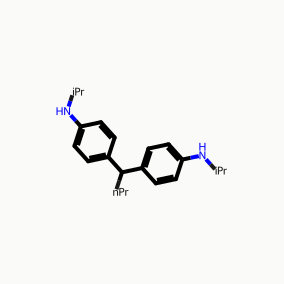 CCCC(c1ccc(NC(C)C)cc1)c1ccc(NC(C)C)cc1